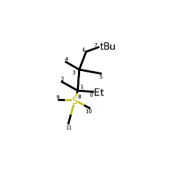 CCC(C)(C(C)(C)CC(C)(C)C)S(C)(C)C